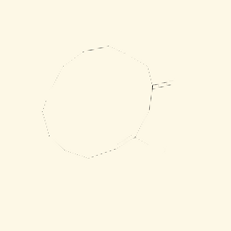 C/C1=C/CCCCCCCCCCC(=O)C1